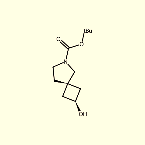 CC(C)(C)OC(=O)N1CC[C@]2(C1)C[C@H](O)C2